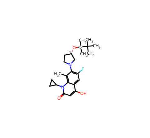 Cc1c(N2CC[C@H](O[Si](C)(C)C(C)(C)C)C2)c(F)cc2c(O)cc(=O)n(C3CC3)c12